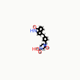 O=C1Nc2ccc(Cc3ccc(CN4CCN(C(=O)O)CC4=O)cc3)c3cccc1c23